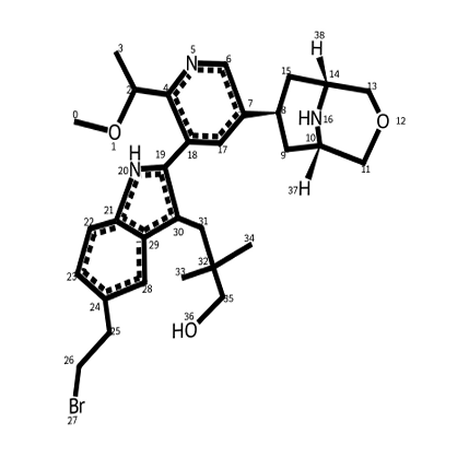 COC(C)c1ncc([C@@H]2C[C@H]3COC[C@@H](C2)N3)cc1-c1[nH]c2ccc(CCBr)cc2c1CC(C)(C)CO